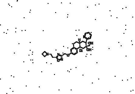 CC[C@@]12C[C@@](C)(O)[C@](O)(c3ccccn3)C[C@H]1CCc1cc(OCc3noc(CCN4CCC4)n3)ccc12